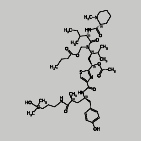 CCCC(=O)OCN(C(=O)[C@@H](NC(=O)[C@H]1CCCCN1C)C(C)CC)[C@H](C[C@@H](OC(C)=O)c1nc(C(=O)N[C@@H](Cc2ccc(O)cc2)C[C@H](C)C(=O)NCCC[Si](C)(C)O)cs1)C(C)C